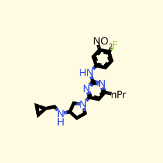 CCCc1cc(N2CCC(NCC3CC3)C2)nc(Nc2ccc(F)c([N+](=O)[O-])c2)n1